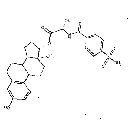 C[C@H](NC(=O)c1ccc(S(N)(=O)=O)cc1)C(=O)O[C@H]1CCC2C3CCc4cc(O)ccc4C3CC[C@@]21C